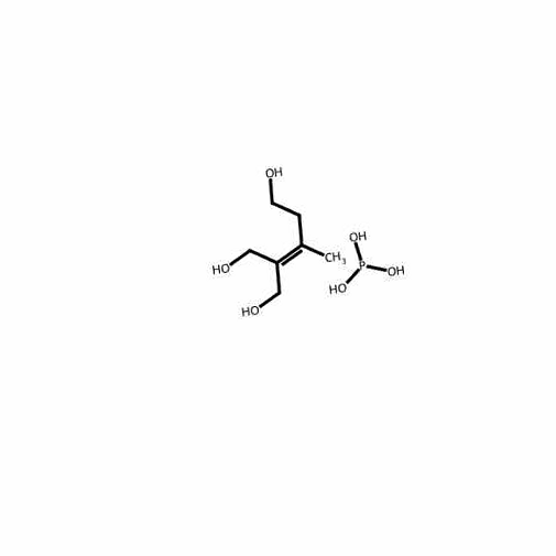 CC(CCO)=C(CO)CO.OP(O)O